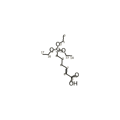 CCO[Si](CCCC=CC(=O)O)(OCC)OCC